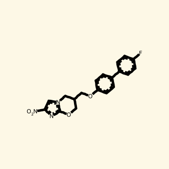 O=[N+]([O-])c1cn2c(n1)OCC(COc1ccc(-c3ccc(F)cc3)cc1)C2